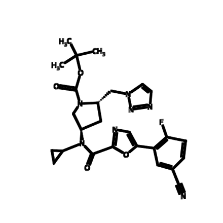 CC(C)(C)OC(=O)N1C[C@H](N(C(=O)c2ncc(-c3cc(C#N)ccc3F)o2)C2CC2)C[C@H]1Cn1ccnn1